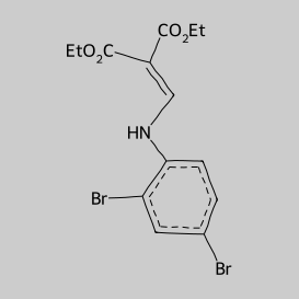 CCOC(=O)C(=CNc1ccc(Br)cc1Br)C(=O)OCC